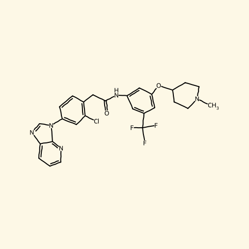 CN1CCC(Oc2cc(NC(=O)Cc3ccc(-n4cnc5cccnc54)cc3Cl)cc(C(F)(F)F)c2)CC1